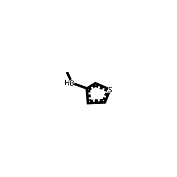 CBc1ccsc1